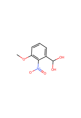 COc1cccc(C(O)O)c1[N+](=O)[O-]